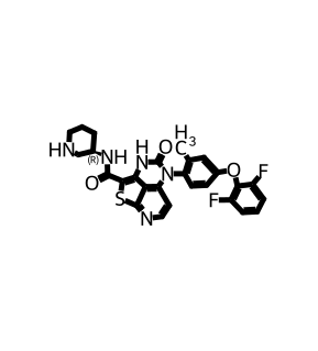 Cc1cc(Oc2c(F)cccc2F)ccc1N1C(=O)Nc2c(C(=O)N[C@@H]3CCCNC3)sc3nccc1c23